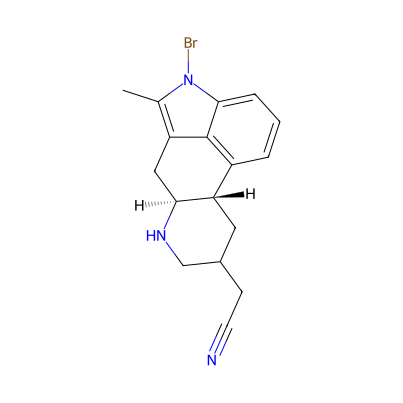 Cc1c2c3c(cccc3n1Br)[C@@H]1CC(CC#N)CN[C@H]1C2